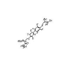 CN[C@@H](CSc1c(F)c(F)c(-c2c(F)c(F)c(SC[C@H](NS)C(C)=O)c(F)c2F)c(F)c1F)C(=O)NS